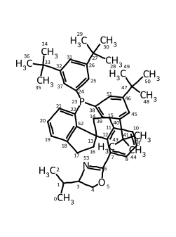 CC(C)C1COC(c2cccc3c2C2(CC3)CCc3cccc(P(c4cc(C(C)(C)C)cc(C(C)(C)C)c4)c4cc(C(C)(C)C)cc(C(C)(C)C)c4)c32)=N1